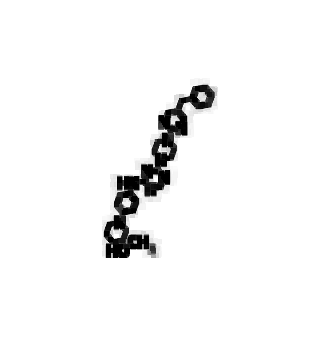 C[C@]1(O)CCCN(c2ccc(Nc3ncnc(N4CCN(c5ncc(Cc6ccccc6)cn5)CC4)n3)cc2)C1